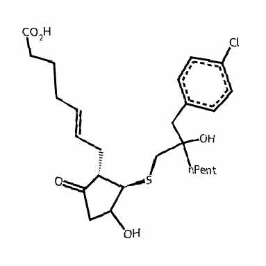 CCCCCC(O)(CS[C@H]1C(O)CC(=O)[C@@H]1CC=CCCCC(=O)O)Cc1ccc(Cl)cc1